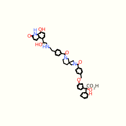 O=C(c1ccc(CCNC[C@H](O)c2ccc(O)c3[nH]c(=O)ccc23)cc1)N1CCCC2(C1)CN(C(=O)c1ccc(COc3cccc([C@](O)(C(=O)O)c4ccccc4)c3)cc1)C2